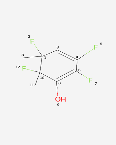 CC1(F)C=C(F)C(F)=C(O)C1(C)F